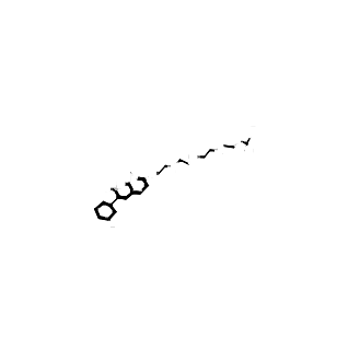 CCC(=O)SCCSCCOCCSCCOc1ccc2cc(-c3cccc(F)c3)c(=O)oc2n1